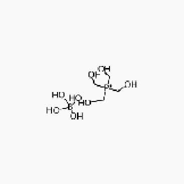 OC[P+](CO)(CO)CO.O[B-](O)(O)O